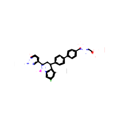 Cc1cc(Cl)ccc1C(C/C(=N/O)c1ccc(=O)n(C)c1)c1ccc(-c2ccc(C(=O)NCC(=O)O)cc2)cc1